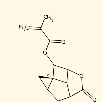 C=C(C)C(=O)OC1C2OC(=O)C3CC4C[C@@]41C32